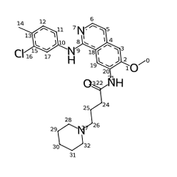 COc1cc2ccnc(Nc3ccc(C)c(Cl)c3)c2cc1NC(=O)CCCN1CCCCC1